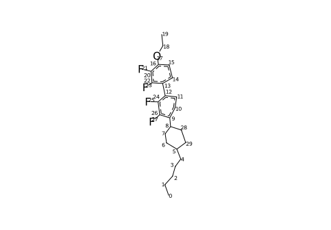 CCCCCC1CCC(c2ccc(-c3ccc(OCC)c(F)c3F)c(F)c2F)CC1